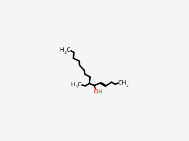 CCCC=CC(O)C(CC)CCCCCCCC